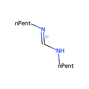 CCCCC/N=C/NCCCCC